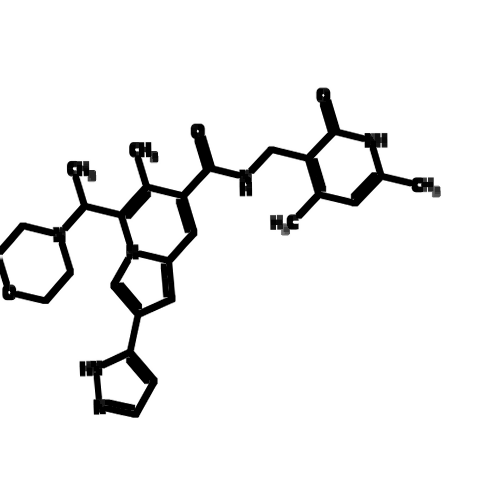 Cc1cc(C)c(CNC(=O)c2cc3cc(-c4ccn[nH]4)cn3c(C(C)N3CCOCC3)c2C)c(=O)[nH]1